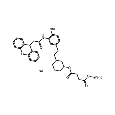 CCCCCOC(=O)CCC(=O)OC1CCCC(CCc2ccc(C(C)(C)C)c(NC(=O)CC3c4ccccc4Oc4ccccc43)c2)C1.[Na]